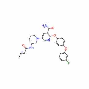 C/C=C/C(=O)NC1CCCN(c2cnc(Oc3ccc(Oc4cccc(F)c4)cc3)c(C(N)=O)c2)C1